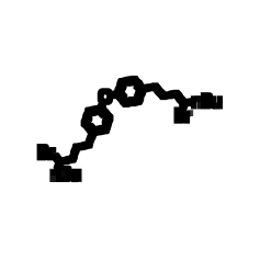 CCCCC(Br)CCCc1ccc(Oc2ccc(CCCC(Br)CCCC)cc2)cc1